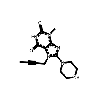 CC#CCn1c(N2CCNCC2)nc2c1c(=O)[nH]c(=O)n2C